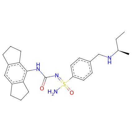 CC[C@@H](C)NCc1ccc(S(N)(=O)=NC(=O)Nc2c3c(cc4c2CCC4)CCC3)cc1